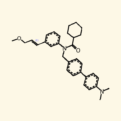 COC/C=C/c1cccc(N(Cc2ccc(-c3ccc(N(C)C)cc3)cc2)C(=O)C2CCCCC2)c1